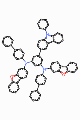 c1ccc(-c2ccc(N(c3cc(-c4ccc5c(c4)c4ccccc4n5-c4ccccc4)cc(N(c4ccc(-c5ccccc5)cc4)c4ccc5c(c4)oc4ccccc45)c3)c3ccc4c(c3)oc3ccccc34)cc2)cc1